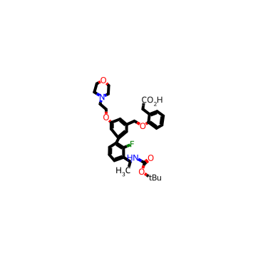 CC(NC(=O)OC(C)(C)C)c1cccc(-c2cc(COc3ccccc3CC(=O)O)cc(OCCN3CCOCC3)c2)c1F